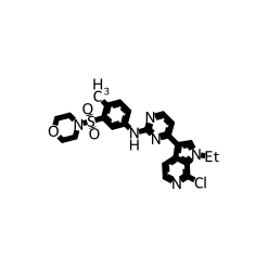 CCn1cc(-c2ccnc(Nc3ccc(C)c(S(=O)(=O)N4CCOCC4)c3)n2)c2ccnc(Cl)c21